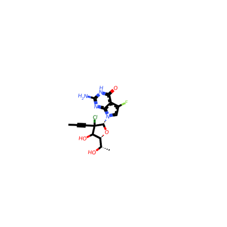 CC#CC1(Cl)C(O)[C@@H]([C@H](C)O)O[C@H]1n1cc(F)c2c(=O)[nH]c(N)nc21